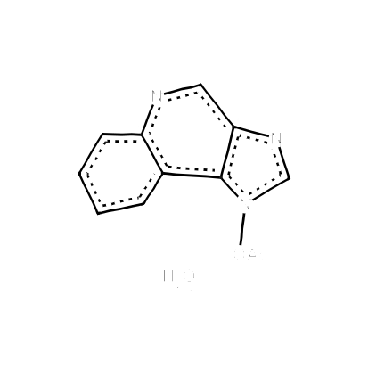 CC(=O)On1cnc2cnc3ccccc3c21.O